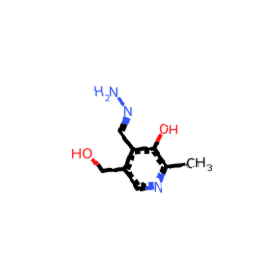 Cc1ncc(CO)c(C=NN)c1O